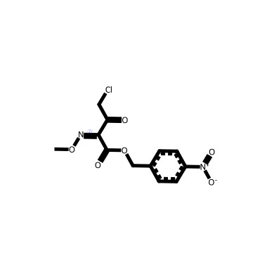 CO/N=C(/C(=O)CCl)C(=O)OCc1ccc([N+](=O)[O-])cc1